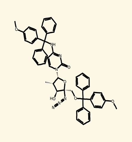 COc1ccc(C(Nc2ccn([C@@H]3O[C@@](COC(c4ccccc4)(c4ccccc4)c4ccc(OC)cc4)(N=[N+]=[N-])[C@@H](O)[C@@H]3C)c(=O)n2)(c2ccccc2)c2ccccc2)cc1